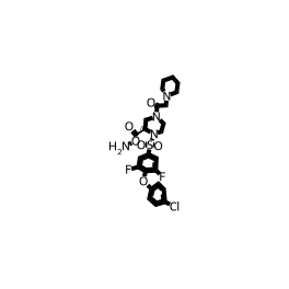 NOC(=O)[C@H]1CN(C(=O)CN2CCCCC2)CCN1S(=O)(=O)c1cc(F)c(Oc2ccc(Cl)cc2)c(F)c1